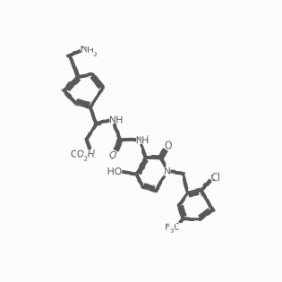 NCc1ccc(C(CC(=O)O)NC(=O)Nc2c(O)ccn(Cc3cc(C(F)(F)F)ccc3Cl)c2=O)cc1